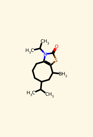 BC1CC(C(C)C)CCCc2c1sc(=O)n2C(C)C